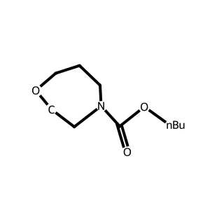 CCCCOC(=O)N1CCCOCC1